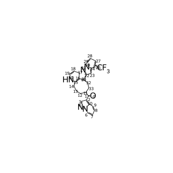 O=C(c1cnn2ccccc12)C1CCCC2=C(CC=CN2)[C@@H](c2cc3c(C(F)(F)F)cccn3n2)CC1